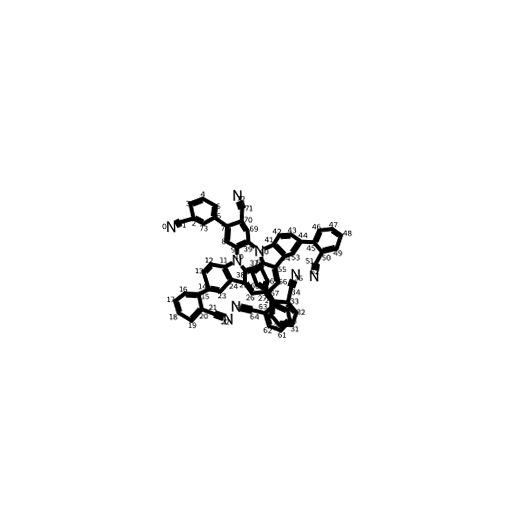 N#Cc1cccc(-c2cc(-n3c4ccc(-c5ccccc5C#N)cc4c4cc(-c5ccccc5C#N)ccc43)c(-n3c4ccc(-c5ccccc5C#N)cc4c4cc(-c5ccccc5C#N)ccc43)cc2C#N)c1